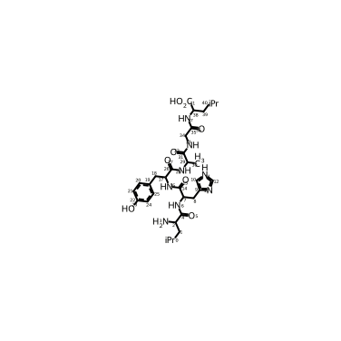 CC(C)CC(N)C(=O)NC(Cc1c[nH]cn1)C(=O)NC(Cc1ccc(O)cc1)C(=O)NC(C)C(=O)NCC(=O)NC(CC(C)C)C(=O)O